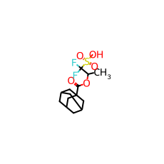 CC(OC(=O)C12CC3CC(CC(C3)C1)C2)C(F)(F)S(=O)(=O)O